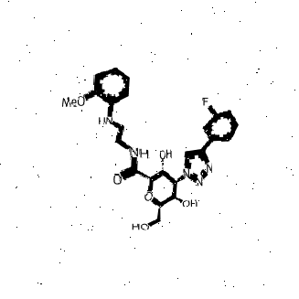 COc1ccccc1NCCNC(=O)[C@@H]1O[C@H](CO)[C@H](O)[C@H](n2cc(-c3cccc(F)c3)nn2)[C@H]1O